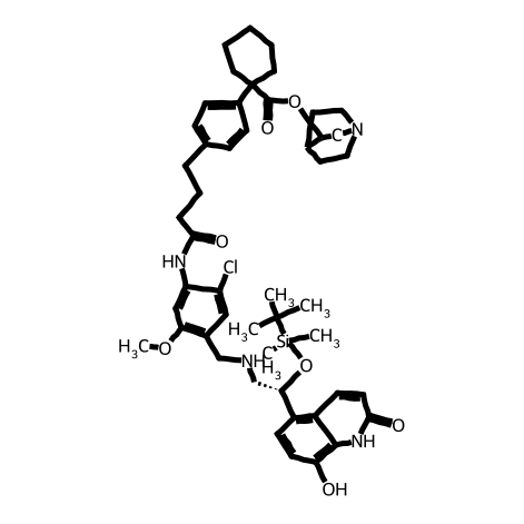 COc1cc(NC(=O)CCCc2ccc(C3(C(=O)OC4CN5CCC4CC5)CCCCC3)cc2)c(Cl)cc1CNC[C@H](O[Si](C)(C)C(C)(C)C)c1ccc(O)c2[nH]c(=O)ccc12